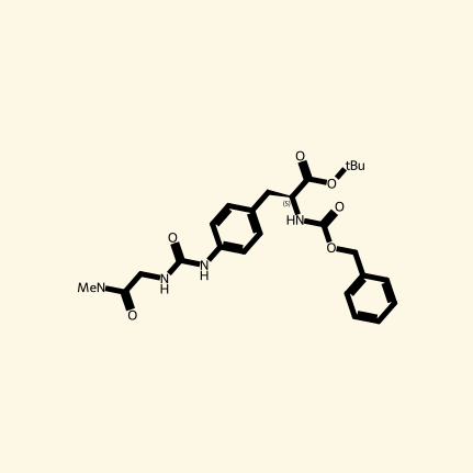 CNC(=O)CNC(=O)Nc1ccc(C[C@H](NC(=O)OCc2ccccc2)C(=O)OC(C)(C)C)cc1